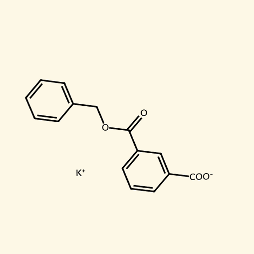 O=C([O-])c1cccc(C(=O)OCc2ccccc2)c1.[K+]